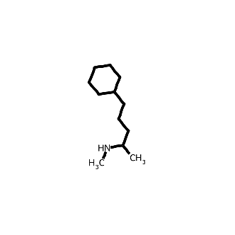 CNC(C)CCCC1CCCCC1